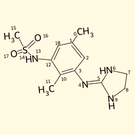 Cc1cc(N=C2NCCN2)c(C)c(NS(C)(=O)=O)c1